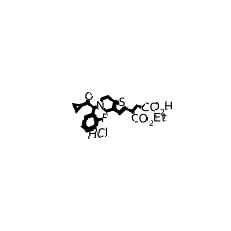 CCOC(=O)C(CC(=O)O)c1cc2c(s1)CCN(C(C(=O)C1CC1)c1ccccc1F)C2.Cl